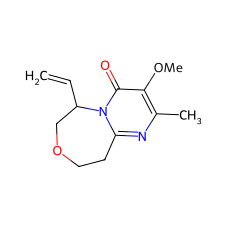 C=CC1COCCc2nc(C)c(OC)c(=O)n21